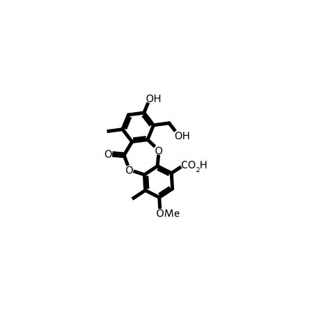 COc1cc(C(=O)O)c2c(c1C)OC(=O)c1c(C)cc(O)c(CO)c1O2